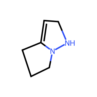 C1=C2CCCN2NC1